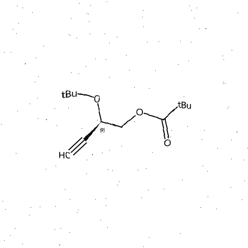 C#C[C@H](COC(=O)C(C)(C)C)OC(C)(C)C